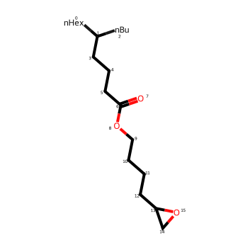 CCCCCCC(CCCC)CCCC(=O)OCCCCC1CO1